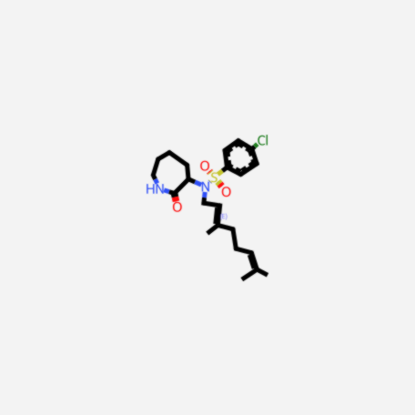 CC(C)=CCC/C(C)=C/CN(C1CCCCNC1=O)S(=O)(=O)c1ccc(Cl)cc1